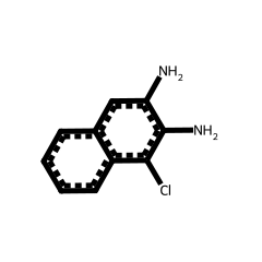 Nc1cc2ccccc2c(Cl)c1N